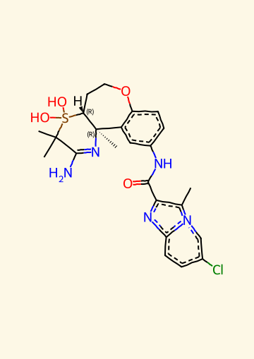 Cc1c(C(=O)Nc2ccc3c(c2)[C@@]2(C)N=C(N)C(C)(C)S(O)(O)[C@@H]2CCO3)nc2ccc(Cl)cn12